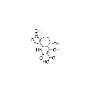 C[C@@H]1CCc2c(cnn2C)-c2[nH]c(=O)c(C(=O)O)c(O)c21